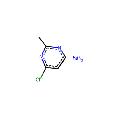 Cc1nccc(Cl)n1.N